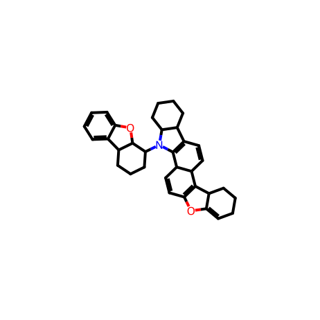 C1=CC2C3=C(C=CC2C2=C1OC1=CCCCC12)C1CCCCC1N3C1CCCC2c3ccccc3OC21